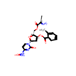 C[C@@H](N)C(=O)OC[C@H]1O[C@@H](n2ccc(NO)nc2=O)C[C@@H]1OC(=O)c1ccccc1C(=O)O